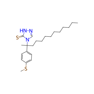 CCCCCCCCCCCC(C)(c1ccc(SC)cc1)n1cn[nH]c1=S